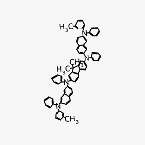 Cc1cccc(N(c2ccccc2)c2ccc3ccc(N(c4ccccc4)c4ccc5c(c4)C(C)(C)c4cc(N(c6ccccc6)c6ccc7ccc(N(c8ccccc8)c8cccc(C)c8)cc7c6)ccc4-5)cc3c2)c1